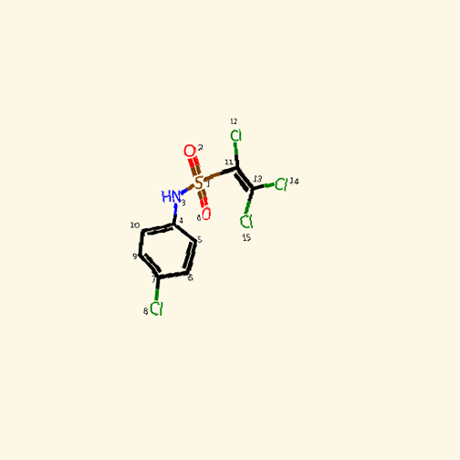 O=S(=O)(Nc1ccc(Cl)cc1)C(Cl)=C(Cl)Cl